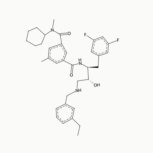 CCc1cccc(CNC[C@@H](O)[C@H](Cc2cc(F)cc(F)c2)NC(=O)c2cc(C)cc(C(=O)N(C)C3CCCCC3)c2)c1